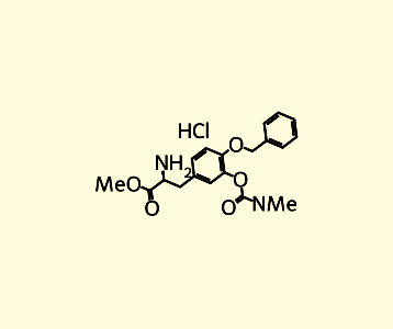 CNC(=O)Oc1cc(C[C@H](N)C(=O)OC)ccc1OCc1ccccc1.Cl